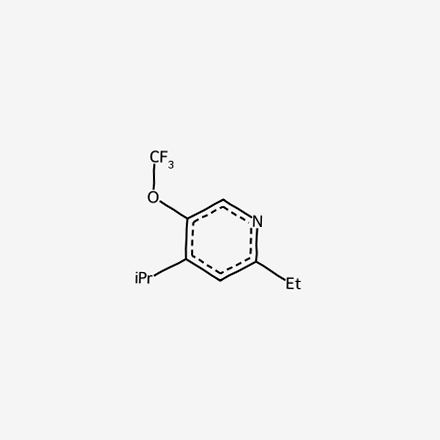 CCc1cc(C(C)C)c(OC(F)(F)F)cn1